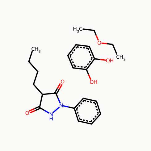 CCCCC1C(=O)NN(c2ccccc2)C1=O.CCOCC.Oc1ccccc1O